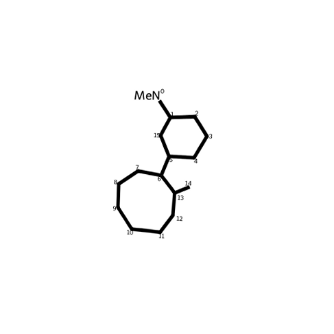 CNC1CCCC(C2CCCCCCC2C)C1